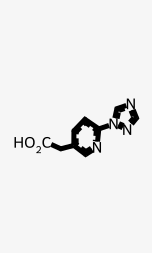 O=C(O)Cc1ccc(-n2cncn2)nc1